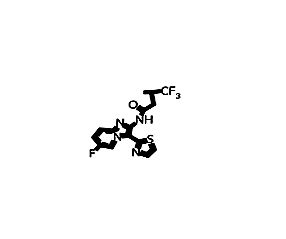 CC(CC(=O)Nc1nc2ccc(F)cn2c1-c1nccs1)C(F)(F)F